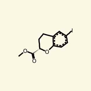 COC(=O)[C@@H]1CCc2cc(I)ccc2O1